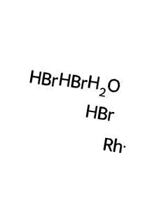 Br.Br.Br.O.[Rh]